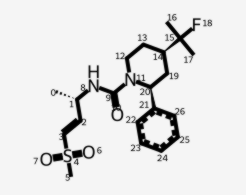 C[C@@H](/C=C/S(C)(=O)=O)NC(=O)N1CC[C@@H](C(C)(C)F)C[C@H]1c1ccccc1